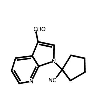 N#CC1(n2cc(C=O)c3cccnc32)CCCC1